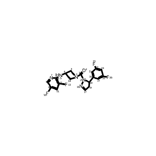 O=C(N1CC(Nc2ncc(F)cc2F)C1)N1N=CCC1c1cc(F)cc(F)c1